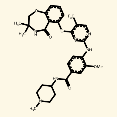 COc1cc(C(=O)NC2CCN(C)CC2)ccc1Nc1ncc(C(F)(F)F)c(Oc2cccc3c2C(=O)NC(C)(C)CO3)n1